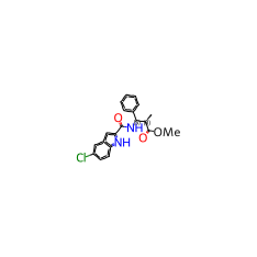 COC(=O)[C@H](C)[C@H](NC(=O)c1cc2cc(Cl)ccc2[nH]1)c1ccccc1